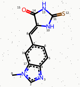 Cn1cnc2ccc(/C=C3\NC(=S)NC3=O)cc21